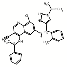 Cc1ncccc1[C@H](Nc1cc(Cl)c2ncc(C#N)c(N[C@H](C)c3ccccc3)c2c1)C1=CN(C(C)C)NN1